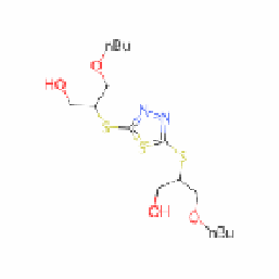 CCCCOCC(CO)Sc1nnc(SC(CO)COCCCC)s1